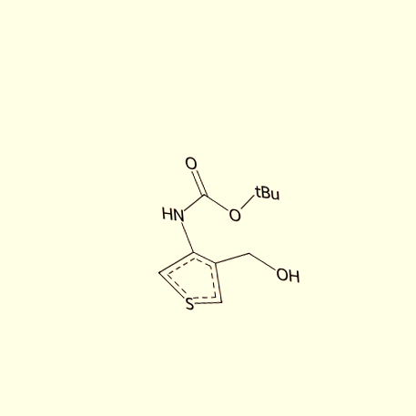 CC(C)(C)OC(=O)Nc1cscc1CO